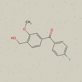 COc1cc(C(=O)c2ccc(F)cc2)ccc1CO